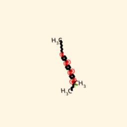 CCCCCCCCOc1ccc(C(=O)Oc2ccc(C(=O)Oc3ccc(OC(=O)C(C)(F)CCCCC)cc3)cc2)cc1